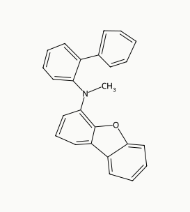 CN(c1ccccc1-c1ccccc1)c1cccc2c1oc1ccccc12